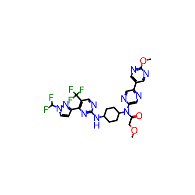 COCC(=O)N(c1cnc(-c2cnc(OC)nc2)cn1)C1CCC(Nc2ncc(C(F)(F)F)c(-c3ccn(C(F)F)n3)n2)CC1